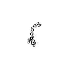 Cn1c(=O)n(C2CCC(=O)NC2=O)c2cc(F)c(N3CCC(C4CCN(CC5CCN(C(=O)OC(C)(C)C)CC5)CC4)CC3)cc21